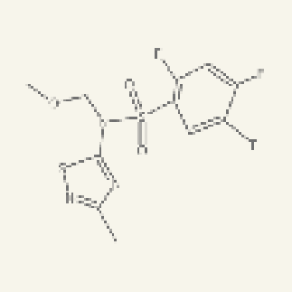 COCN(c1nc(C)ns1)S(=O)(=O)c1cc(F)c(F)cc1F